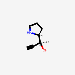 C#C[C@](C)(O)[C@@H]1CCCN1